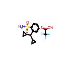 NS(=O)(=O)c1ccccc1C(C1CC1)C1CC1.O=C(O)C(F)(F)F